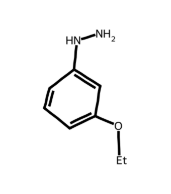 CCOc1cccc(NN)c1